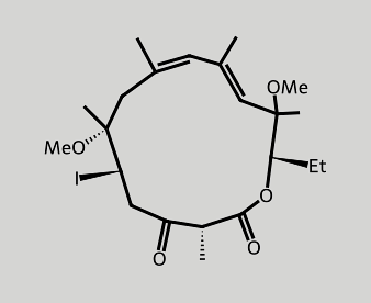 CC[C@H]1OC(=O)[C@H](C)C(=O)C[C@@H](I)[C@](C)(OC)C/C(C)=C\C(C)=C\C1(C)OC